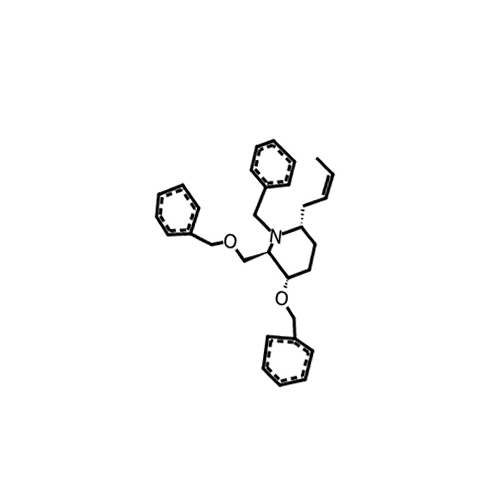 C/C=C\C[C@@H]1CC[C@H](OCc2ccccc2)[C@@H](COCc2ccccc2)N1Cc1ccccc1